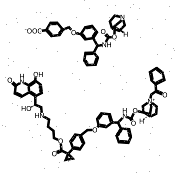 O=C(NC(c1ccccc1)c1cccc(OCc2ccc(C(=O)[O-])cc2)c1)O[C@H]1CN2CCC1CC2.O=C(NC(c1ccccc1)c1cccc(OCc2ccc(C3(C(=O)OCCCCNC[C@H](O)c4ccc(O)c5[nH]c(=O)ccc45)CC3)cc2)c1)O[C@H]1C[N+]2(CC(=O)c3ccccc3)CCC1CC2